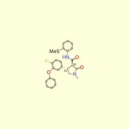 CSc1ccccc1NC(=O)[C@H]1C(=O)N(C)C[C@@H]1c1ccc(F)c(Oc2ccccc2)c1